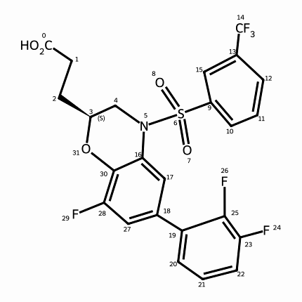 O=C(O)CC[C@H]1CN(S(=O)(=O)c2cccc(C(F)(F)F)c2)c2cc(-c3cccc(F)c3F)cc(F)c2O1